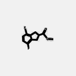 COC(=O)C1Cc2c(F)ccc(F)c2C1